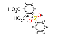 O=C(O)c1cccc(S(=O)(=O)c2ccccc2)c1C(=O)O